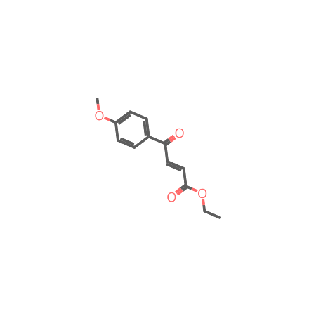 CCOC(=O)C=CC(=O)c1ccc(OC)cc1